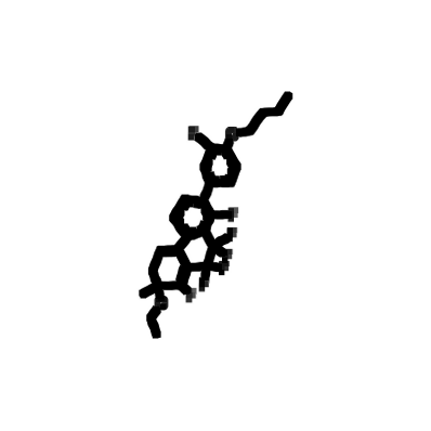 CCCCOc1ccc(-c2ccc3c(c2F)C(F)(F)C(F)(F)C2=C(F)C(C)(OCC)CC=C23)cc1F